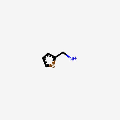 [NH]Cc1cccs1